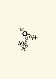 CC(C)(C)OP(=O)(OCOc1ccc(Br)cc1CO[Si](C)(C)C(C)(C)C)OC(C)(C)C